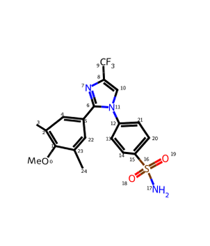 COc1c(C)cc(-c2nc(C(F)(F)F)cn2-c2ccc(S(N)(=O)=O)cc2)cc1C